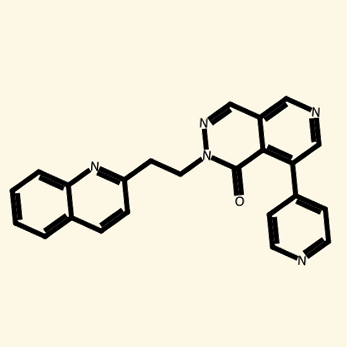 O=c1c2c(-c3ccncc3)cncc2cnn1CCc1ccc2ccccc2n1